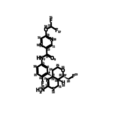 NC1=N[C@@]2(c3cc(NC(=O)c4cnc(OC(F)F)cn4)ccc3F)CCO[C@H](CF)[C@H]2CS1